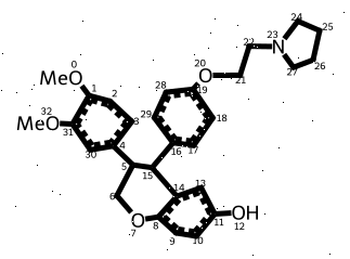 COc1ccc(C2COc3ccc(O)cc3C2c2ccc(OCCN3CCCC3)cc2)cc1OC